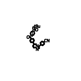 CC(C)(C)OC(=O)N1CCN(C(=O)c2ccc(-c3ccc4ncc(-c5ccc(C#N)cc5)n4c3)cc2)CC1